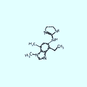 CCc1c(NC2=NCCN2)cc(C)c2c1ncn2C